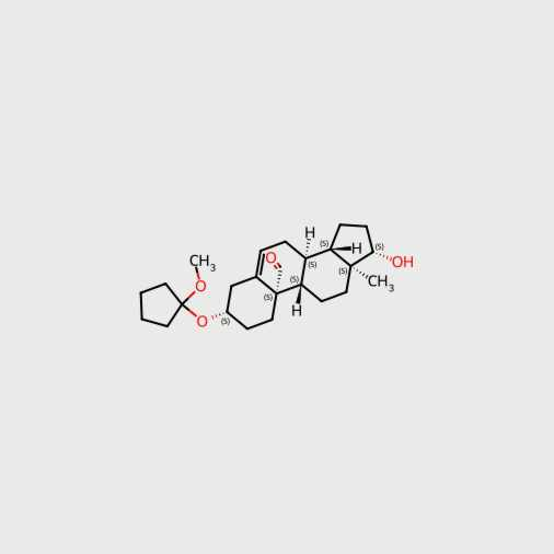 COC1(O[C@H]2CC[C@@]3(C=O)C(=CC[C@H]4[C@@H]5CC[C@H](O)[C@@]5(C)CC[C@@H]43)C2)CCCC1